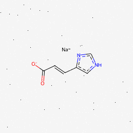 O=C([O-])C=Cc1c[nH]cn1.[Na+]